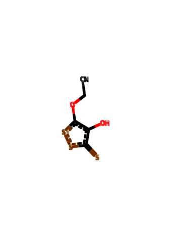 N#CCOc1ssc(=S)c1O